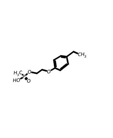 CCc1ccc(OCCOP(C)(=O)O)cc1